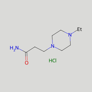 CCN1CCN(CCC(N)=O)CC1.Cl